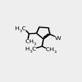 CC(C)C1=[C]([W])CCC1C(C)C